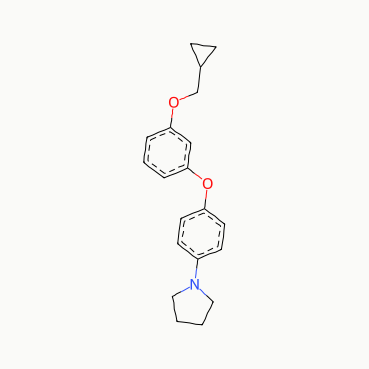 c1cc(OCC2CC2)cc(Oc2ccc(N3CCCC3)cc2)c1